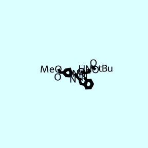 COC(=O)c1ccc2[nH]c(C3Cc4ccccc4N3C(=O)CNC(=O)OC(C)(C)C)nc2c1